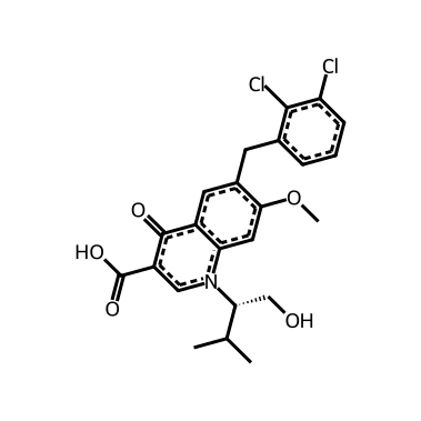 COc1cc2c(cc1Cc1cccc(Cl)c1Cl)c(=O)c(C(=O)O)cn2[C@H](CO)C(C)C